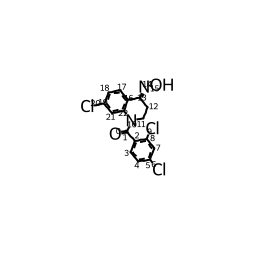 O=C(c1ccc(Cl)cc1Cl)N1CC/C(=N\O)c2ccc(Cl)cc21